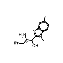 Cc1ccc2c(c1)nc(C(O)[C@H](N)CC(C)C)n2C